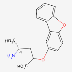 N[C@@H](CC(Oc1ccc2oc3ccccc3c2c1)C(=O)O)C(=O)O